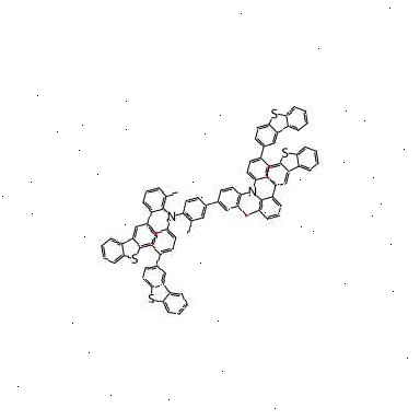 Cc1cc(-c2ccc(N(c3ccc(-c4ccc5sc6ccccc6c5c4)cc3)c3c(C)cccc3-c3ccc4sc5ccccc5c4c3)c(C)c2)ccc1N(c1ccc(-c2ccc3sc4ccccc4c3c2)cc1)c1c(C)cccc1-c1ccc2sc3ccccc3c2c1